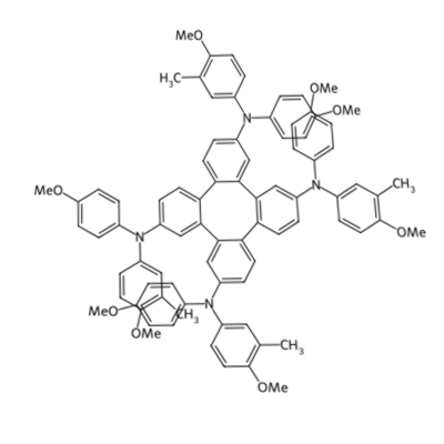 COc1ccc(N(c2ccc(OC)c(C)c2)c2ccc3c(c2)-c2cc(N(c4ccc(OC)cc4)c4ccc(OC)c(C)c4)ccc2-c2ccc(N(c4ccc(OC)cc4)c4ccc(OC)c(C)c4)cc2-c2cc(N(c4ccc(OC)cc4)c4ccc(OC)c(C)c4)ccc2-3)cc1